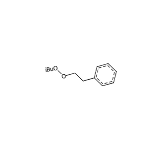 CC(C)COOCCc1ccccc1